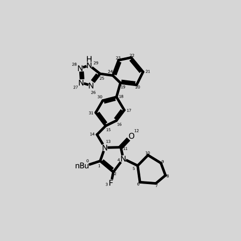 CCCCc1c(F)n(C2CCCCC2)c(=O)n1Cc1ccc(-c2ccccc2-c2nnn[nH]2)cc1